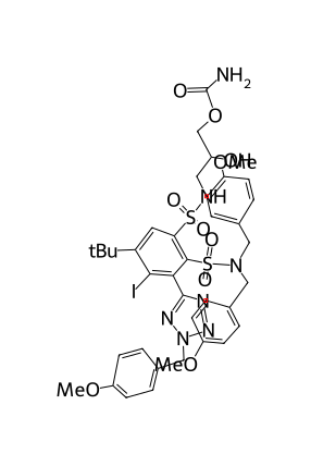 COc1ccc(CN(Cc2ccc(OC)cc2)S(=O)(=O)c2c(S(=O)(=O)NCC(O)COC(N)=O)cc(C(C)(C)C)c(I)c2-c2nnn(Cc3ccc(OC)cc3)n2)cc1